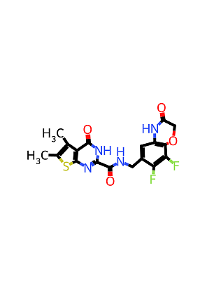 Cc1sc2nc(C(=O)NCc3cc4c(c(F)c3F)OCC(=O)N4)[nH]c(=O)c2c1C